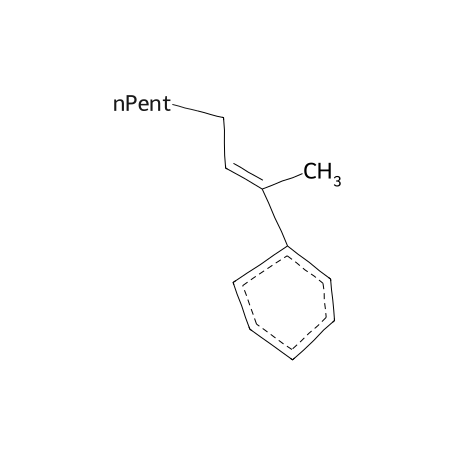 CCCCCCC=C(C)c1ccccc1